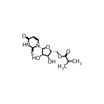 CC(C)C(=O)OC[C@H]1O[C@@H](n2ccc(=O)[nH]c2=S)[C@H](O)[C@@H]1O